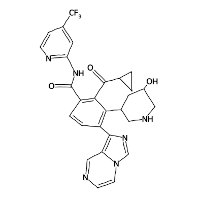 O=C(Nc1cc(C(F)(F)F)ccn1)c1ccc(-c2ncn3ccncc23)c(C2CNCC(O)C2)c1C(=O)C1CC1